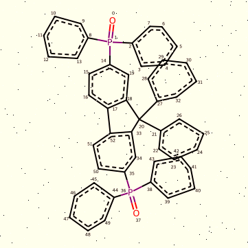 O=P(c1ccccc1)(c1ccccc1)c1ccc2c(c1)C(c1ccccc1)(c1ccccc1)c1cc(P(=O)(c3ccccc3)c3ccccc3)ccc1-2